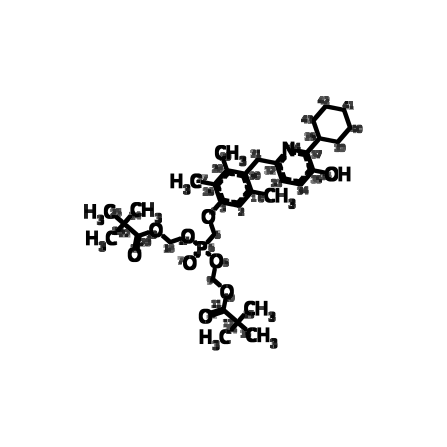 Cc1cc(OCP(=O)(OCOC(=O)C(C)(C)C)OCOC(=O)C(C)(C)C)c(C)c(C)c1Cc1ccc(O)c(C2CCCCC2)n1